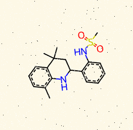 Cc1cccc2c1NC(c1ccccc1NS(C)(=O)=O)CC2(C)C